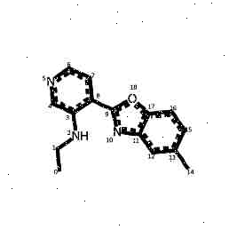 CCNc1cnccc1-c1nc2cc(C)ccc2o1